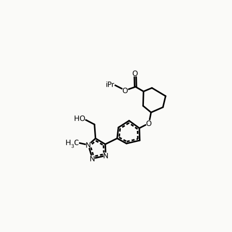 CC(C)OC(=O)C1CCCC(Oc2ccc(-c3nnn(C)c3CO)cc2)C1